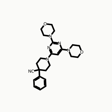 N#CC1(c2ccccc2)CCN(c2cc(N3CCOCC3)nc(N3CCOCC3)n2)CC1